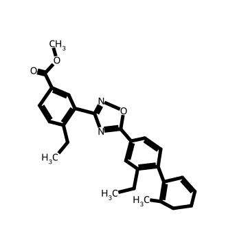 CCc1cc(-c2nc(-c3cc(C(=O)OC)ccc3CC)no2)ccc1C1=C(C)CCC=C1